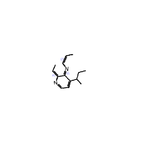 C\C=C/N=C1/C(C(C)CC)=CC=N/C1=C/C